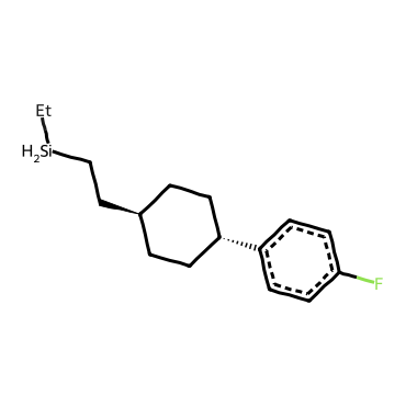 CC[SiH2]CC[C@H]1CC[C@H](c2ccc(F)cc2)CC1